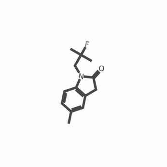 Cc1ccc2c(c1)CC(=O)N2CC(C)(C)F